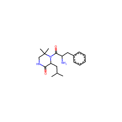 CC(C)CC1C(=O)NCC(C)(C)N1C(=O)C(N)Cc1ccccc1